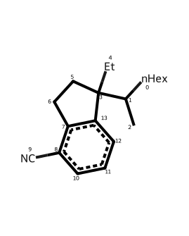 CCCCCCC(C)C1(CC)CCc2c(C#N)cccc21